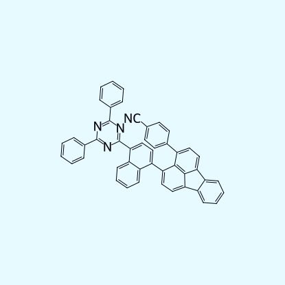 N#Cc1ccc(-c2ccc3c4c(ccc(-c5ccc(-c6nc(-c7ccccc7)nc(-c7ccccc7)n6)c6ccccc56)c24)-c2ccccc2-3)cc1